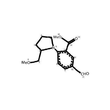 COCC1CCCN1c1ccc(C=O)cc1C(=O)OC